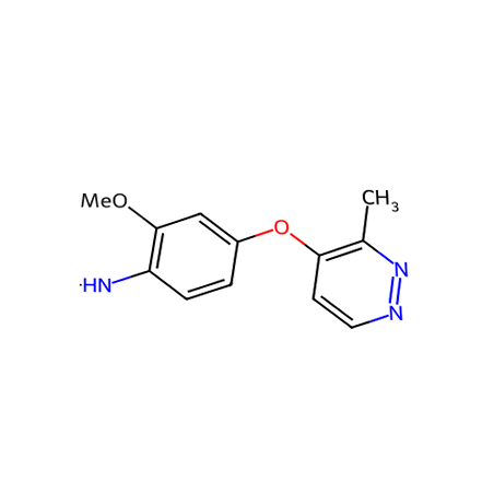 COc1cc(Oc2ccnnc2C)ccc1[NH]